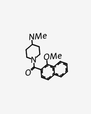 CNC1CCN(C(=O)c2ccc3ccccc3c2OC)CC1